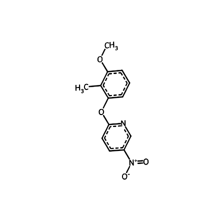 COc1cccc(Oc2ccc([N+](=O)[O-])cn2)c1C